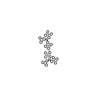 c1ccc(C2(c3ccccc3)c3ccccc3-c3ccc(N(c4ccc5c(c4)-c4ccccc4C54c5ccccc5-c5cc(-c6ccc7c(c6)C(c6ccccc6)(c6ccccc6)c6cc(N(c8ccc9c%10ccccc%10c%10ccccc%10c9c8)c8cccc9c8-c8ccccc8C98c9ccccc9-c9ccccc98)ccc6-7)ccc54)c4ccc5c6ccccc6c6ccccc6c5c4)cc32)cc1